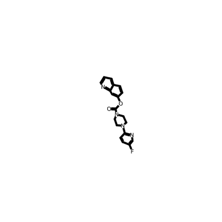 O=C(Oc1ccc2cccnc2c1)N1CCN(c2ccc(F)cn2)CC1